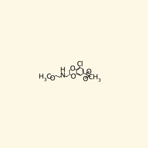 COCCNC[C@H]1COc2c(Cl)cc(S(C)(=O)=O)cc2O1